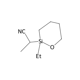 CC[Si]1(C(C)C#N)CCCCO1